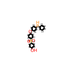 O=S(=O)(c1ccc(O)cc1)c1ccc(Oc2ccc(Pc3ccccc3)cc2)cc1